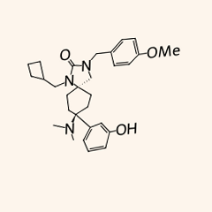 COc1ccc(CN2C[C@]3(CC[C@](c4cccc(O)c4)(N(C)C)CC3)N(CC3CCC3)C2=O)cc1